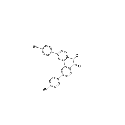 CC(C)c1ccc(-c2ccc3c(c2)-c2cc(-c4ccc(C(C)C)cc4)ccc2C(=O)C3=O)cc1